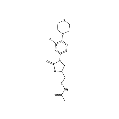 CC(=O)NSCC1CN(c2ccc(N3CCSCC3)c(F)c2)C(=O)O1